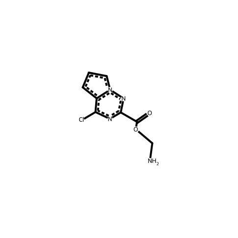 NCOC(=O)c1nc(Cl)c2cccn2n1